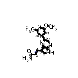 NC(=O)/C=C/c1c[nH]c2ncc(-c3cc(OC(F)(F)F)nc(C(F)(F)F)c3)nc12